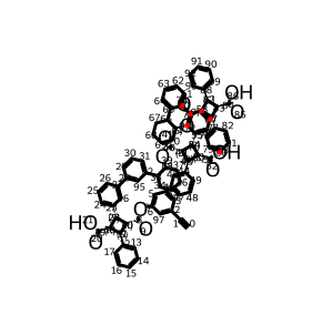 C#Cc1cccc(OC(=O)[C@@H]2[C@@H](c3ccccc3)[C@@H](C(=O)O)[C@@H]2c2cccc(-c3cccc(C4CCCC[C@@H]4OC(=O)[C@H]4[C@H](c5ccccc5)[C@H](C(=O)O)[C@H]4c4cccc(-c5ccccc5C5CCCC[C@@H]5OC(=O)[C@H]5[C@@H](c6ccccc6)[C@H](C(=O)O)[C@@H]5c5ccccc5)c4)c3)c2)c1